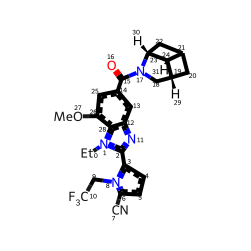 CCn1c(-c2ccc(C#N)n2CC(F)(F)F)nc2cc(C(=O)N3C[C@H]4CC5C[C@@H]3[C@H]54)cc(OC)c21